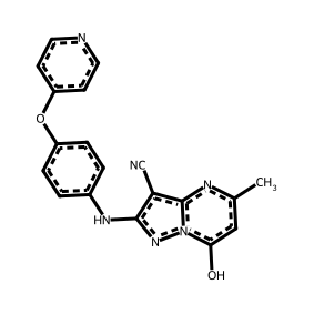 Cc1cc(O)n2nc(Nc3ccc(Oc4ccncc4)cc3)c(C#N)c2n1